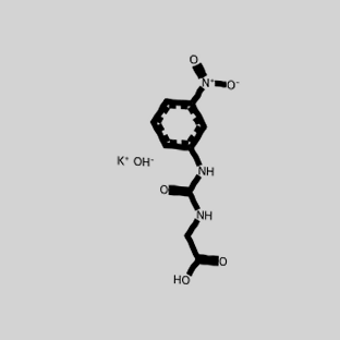 O=C(O)CNC(=O)Nc1cccc([N+](=O)[O-])c1.[K+].[OH-]